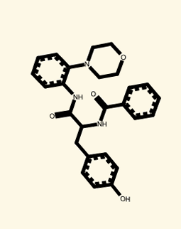 O=C(NC(Cc1ccc(O)cc1)C(=O)Nc1ccccc1N1CCOCC1)c1ccccc1